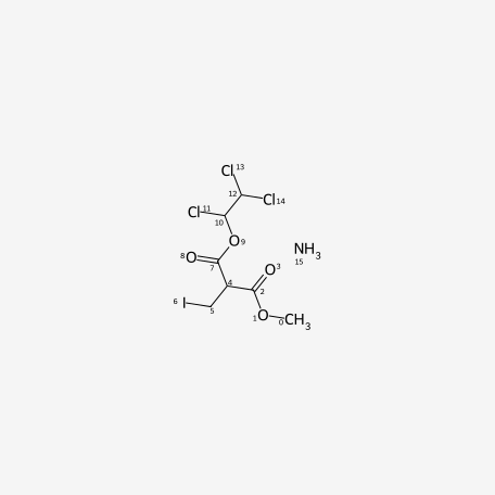 COC(=O)C(CI)C(=O)OC(Cl)C(Cl)Cl.N